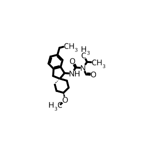 CCc1ccc2c(c1)C(NC(=O)N(C=O)C(C)C)[C@]1(CC[C@H](OC)CC1)C2